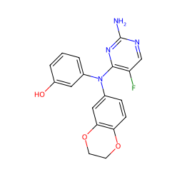 Nc1ncc(F)c(N(c2cccc(O)c2)c2ccc3c(c2)OCCO3)n1